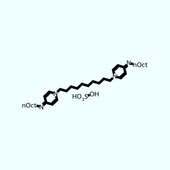 CCCCCCCCN=c1ccn(CCCCCCCCCCn2ccc(=NCCCCCCCC)cc2)cc1.O=S(=O)(O)O